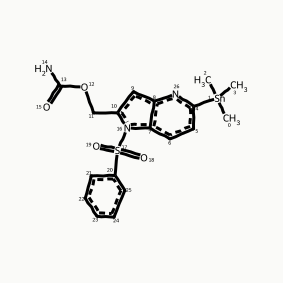 [CH3][Sn]([CH3])([CH3])[c]1ccc2c(cc(COC(N)=O)n2S(=O)(=O)c2ccccc2)n1